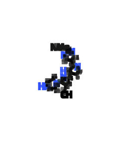 C#Cc1cc(-c2ccnc(-c3cnc(NC)nc3)c2)[nH]c1N1CCNCC1